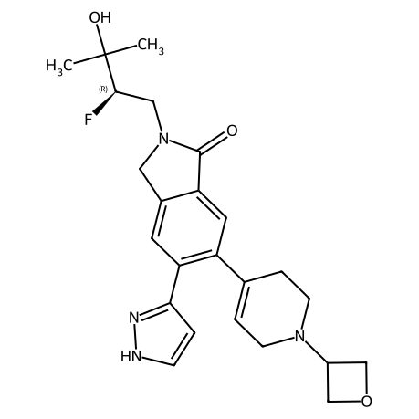 CC(C)(O)[C@H](F)CN1Cc2cc(-c3cc[nH]n3)c(C3=CCN(C4COC4)CC3)cc2C1=O